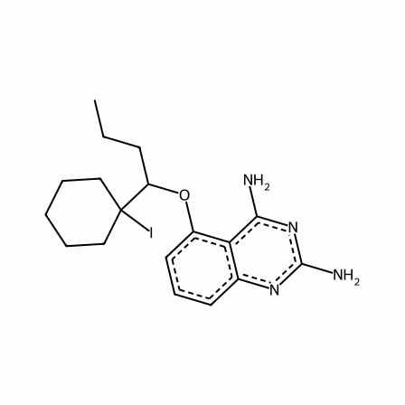 CCCC(Oc1cccc2nc(N)nc(N)c12)C1(I)CCCCC1